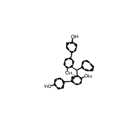 Cc1ccc(-c2ccc(O)cc2)cc1C(c1ccccc1)c1cc(-c2ccc(O)cc2)ccc1O